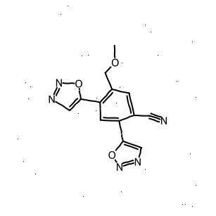 COCc1cc(C#N)c(-c2cnno2)cc1-c1cnno1